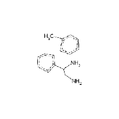 Cc1ccccc1.NCC(N)c1ccccc1